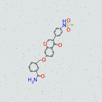 CS(=O)(=O)Nc1ccc(-c2coc3cc(OCc4cccc(C(N)=O)c4)ccc3c2=O)cc1